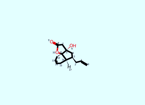 C=CC[C@@H]1C[C@]2(O)CC(=O)O[C@@]23CC=CC[C@H]13